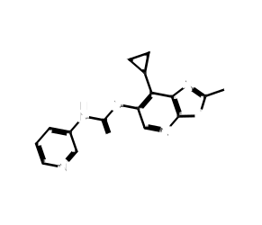 Cc1nc2c(C3CC3)c(NC(=O)Nc3cccnc3)cnc2s1